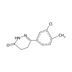 Cc1ccc(C2=NNC(=O)CC2)cc1Cl